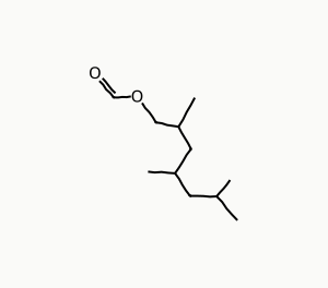 CC(C)CC(C)CC(C)COC=O